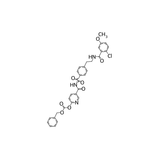 COc1ccc(Cl)c(C(=O)NCCc2ccc(S(=O)(=O)NC(=O)c3ccc(OC(=O)OCc4ccccc4)nc3)cc2)c1